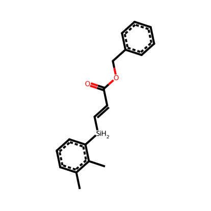 Cc1cccc([SiH2]C=CC(=O)OCc2ccccc2)c1C